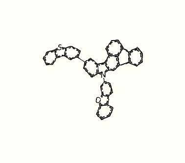 c1ccc2c(c1)-c1cccc3c1c-2cc1c3c2cc(-c3ccc4sc5ccccc5c4c3)ccc2n1-c1ccc2c(c1)oc1ccccc12